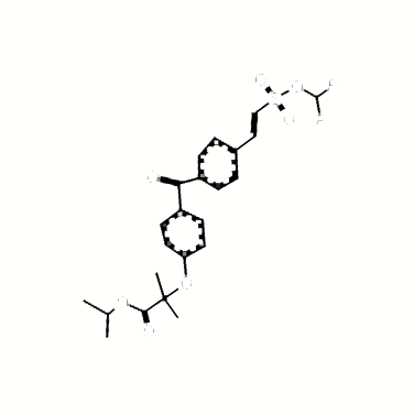 CC(C)OC(=O)C(C)(C)Oc1ccc(C(=O)c2ccc(/C=C/S(=O)(=O)OC(F)F)cc2)cc1